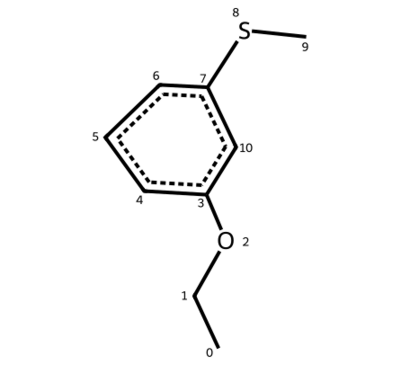 CCOc1cccc(SC)c1